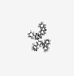 c1ccc(-c2nc(-c3cc(-c4cccnc4)cc(-n4c5ccccc5c5ccccc54)c3)nc(-c3ccc4sc5ccccc5c4c3)n2)cc1